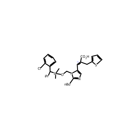 CCCCc1ncc(/C=C(\Cc2cccs2)C(=O)O)n1CO[Si](C)(C)C(c1ccccc1Cl)C(C)C